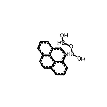 OBOBO.c1cc2ccc3cccc4ccc(c1)c2c34